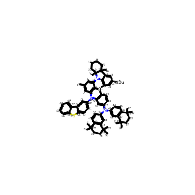 Cc1cc2c3c(c1)N1c4c(cc(C(C)(C)C)cc4C4(C)CCCCC14C)B3c1ccc(N(c3ccc4c(c3)C(C)(C)CCC4(C)C)c3ccc4c(c3)C(C)(C)CCC4(C)C)cc1N2c1ccc2sc3ccccc3c2c1